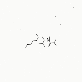 C=C(C(C)C)N(C)C(CC(C)CCCCC)C(C)C